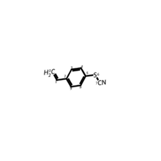 C=Cc1ccc(SC#N)cc1